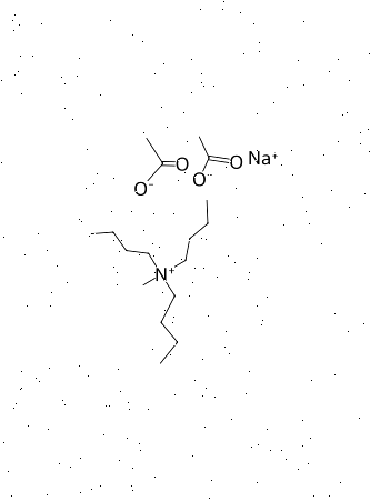 CC(=O)[O-].CC(=O)[O-].CCCC[N+](C)(CCCC)CCCC.[Na+]